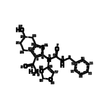 NC(=O)c1c(N(C(=O)NCc2ccccc2)C2=COCO2)sc2c1CCC(O)C2